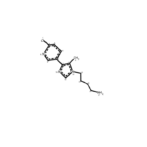 Cc1c(-c2ccc(Cl)nc2)ncn1CCCCN